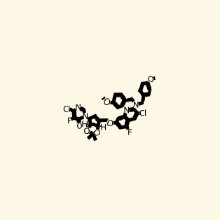 COc1ccc(CN(Cc2ccc(OC)cc2)c2nc3cc(OCC4=C[C@@H](n5cnc(Cl)c(F)c5=O)[C@@H]5OC(C)(C)O[C@H]45)cc(F)c3cc2Cl)cc1